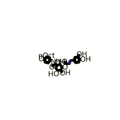 CCCCCCCCOc1ccc(NC(=O)C2(O)CC(O)C(O)C(OC(=O)/C=C/c3ccc(O)c(O)c3)C2)cc1